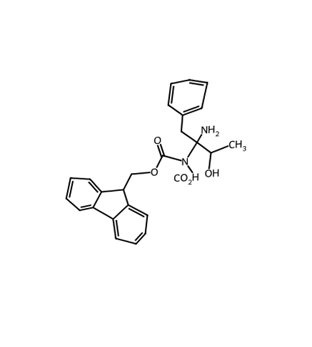 CC(O)C(N)(Cc1ccccc1)N(C(=O)O)C(=O)OCC1c2ccccc2-c2ccccc21